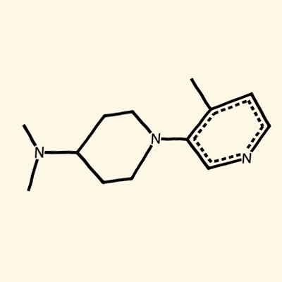 Cc1ccncc1N1CCC(N(C)C)CC1